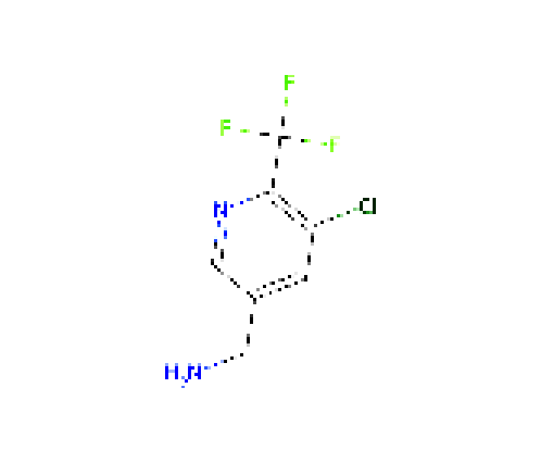 NCc1cnc(C(F)(F)F)c(Cl)c1